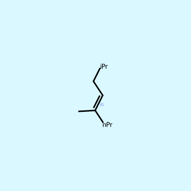 CCC/C(C)=C/CC(C)C